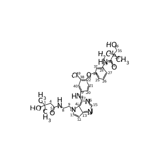 CC(C)(O)CC(=O)NCCn1ccc2ncnc(Nc3ccc(Oc4cccc(NC(=O)C(C)(C)CO)c4)c(Cl)c3)c21